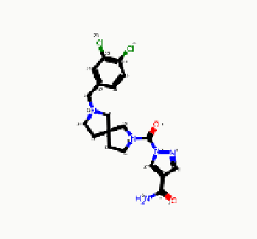 NC(=O)c1cnn(C(=O)N2CCC3(CCN(Cc4ccc(Cl)c(Cl)c4)C3)C2)c1